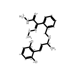 CNC(=O)C(=NOC)c1ccccc1COC(C)C=Cc1c(Cl)cccc1Cl